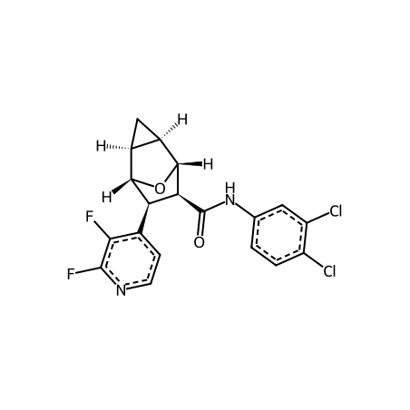 O=C(Nc1ccc(Cl)c(Cl)c1)[C@@H]1[C@@H]2O[C@@H]([C@H]3C[C@H]32)[C@@H]1c1ccnc(F)c1F